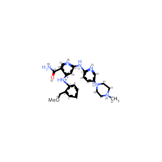 COCc1ccccc1Nc1cc(Nc2ccc(N3CCN(C)CC3)cn2)ncc1C(N)=O